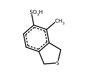 Cc1c(S(=O)(=O)O)ccc2c1CSC2